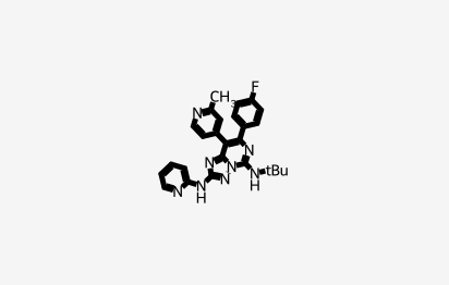 Cc1cc(-c2c(-c3ccc(F)cc3)nc(NC(C)(C)C)n3nc(Nc4ccccn4)nc23)ccn1